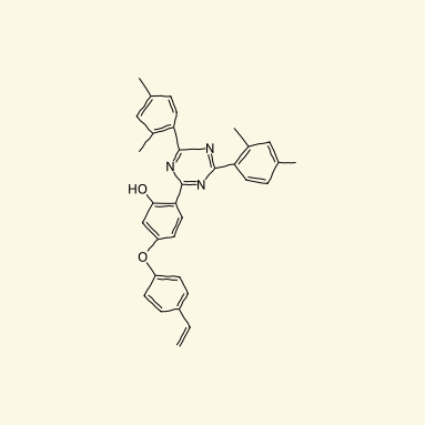 C=Cc1ccc(Oc2ccc(-c3nc(-c4ccc(C)cc4C)nc(-c4ccc(C)cc4C)n3)c(O)c2)cc1